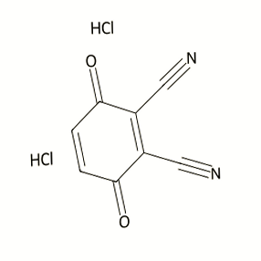 Cl.Cl.N#CC1=C(C#N)C(=O)C=CC1=O